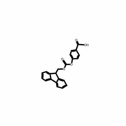 O=C(OCC1c2ccccc2-c2ccccc21)Oc1ccc(C(=O)O)cc1